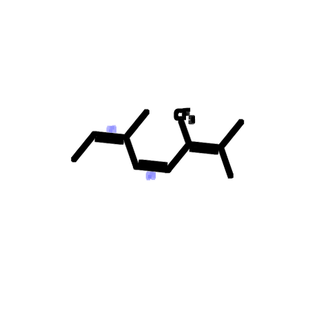 C/C=C(C)\C=C/C(=C(C)C)C(F)(F)F